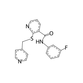 O=C(Nc1cccc(F)c1)c1cccnc1SCc1ccncc1